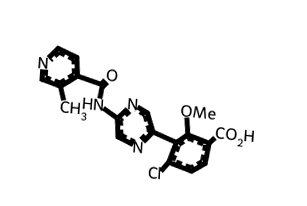 COc1c(C(=O)O)ccc(Cl)c1-c1cnc(NC(=O)c2ccncc2C)cn1